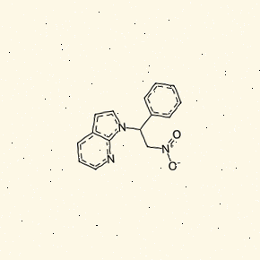 O=[N+]([O-])CC(c1ccccc1)n1ccc2cccnc21